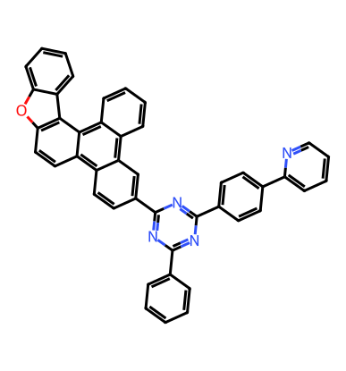 c1ccc(-c2nc(-c3ccc(-c4ccccn4)cc3)nc(-c3ccc4c(c3)c3ccccc3c3c4ccc4oc5ccccc5c43)n2)cc1